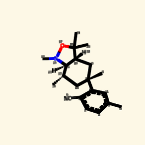 Cc1ccc(C#N)c([C@@]2(C)C[C@@H]3[C@@H]([C@@H](C)C2)N(C)OC3(C)C)c1